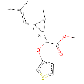 COC(=O)C(Oc1ccsc1)[C@@H]1[C@H](C=C(C)C)C1(C)C